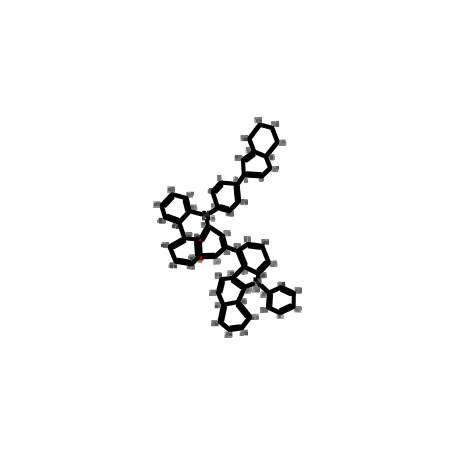 C1=C(c2ccc(N(c3cccc(-c4cccc5c4c4ccc6ccccc6c4n5-c4ccccc4)c3)c3ccccc3-c3ccccc3)cc2)C=C2CCCCC2C1